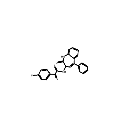 O=C(C(=S)NC1N=C(c2ccccc2)c2ccccc2NC1=O)c1ccc(F)cc1